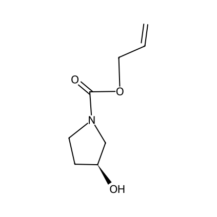 C=CCOC(=O)N1CC[C@H](O)C1